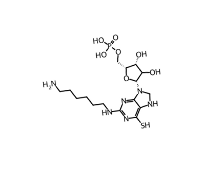 NCCCCCCNc1nc(S)c2c(n1)N([C@@H]1O[C@H](COP(=O)(O)O)[C@H](O)C1O)CN2